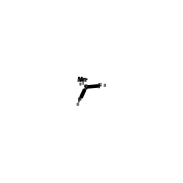 FSF.[Mn]